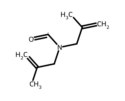 C=C(C)CN([C]=O)CC(=C)C